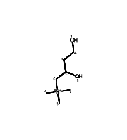 C[N+](C)(C)CC(O)CCO